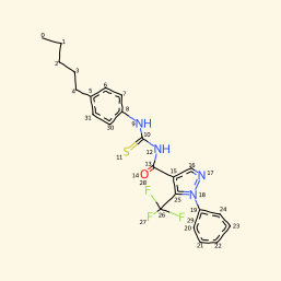 CCCCCc1ccc(NC(=S)NC(=O)c2cnn(-c3ccccc3)c2C(F)(F)F)cc1